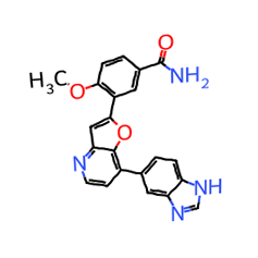 COc1ccc(C(N)=O)cc1-c1cc2nccc(-c3ccc4[nH]cnc4c3)c2o1